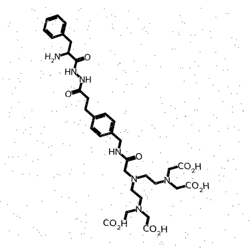 NC(Cc1ccccc1)C(=O)NNC(=O)CCc1ccc(CNC(=O)CN(CCN(CC(=O)O)CC(=O)O)CCN(CC(=O)O)CC(=O)O)cc1